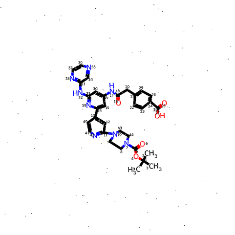 CC(C)(C)OC(=O)N1CCN(c2cc(-c3cc(NC(=O)Cc4ccc(C(=O)O)cc4)cc(Nc4cnccn4)n3)ccn2)CC1